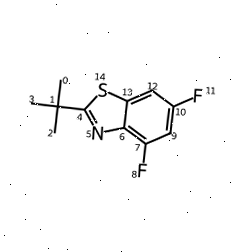 CC(C)(C)c1nc2c(F)cc(F)cc2s1